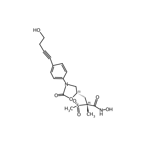 C[C@@](C[C@H]1CN(c2ccc(C#CCCO)cc2)C(=O)O1)(C(=O)NO)S(C)(=O)=O